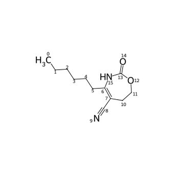 CCCCCCC1=C(C#N)CCOC(=O)N1